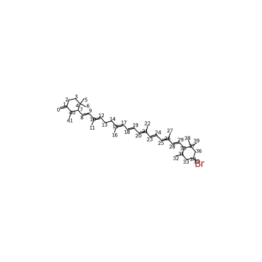 C=C1CCC(C)(C)C(/C=C/C(C)=C/CC/C(C)=C/C=C/C=C(C)/C=C/C=C(C)/C=C/C2C(C)CC(Br)CC2(C)C)C1C